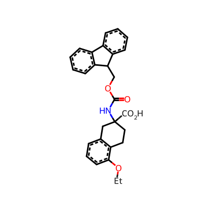 CCOc1cccc2c1CCC(NC(=O)OCC1c3ccccc3-c3ccccc31)(C(=O)O)C2